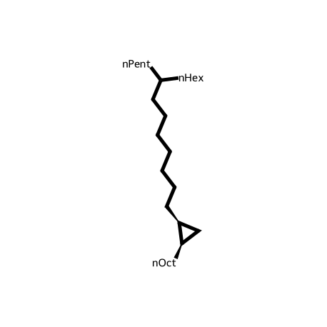 CCCCCCCC[C@@H]1C[C@@H]1CCCCCCCC(CCCCC)CCCCCC